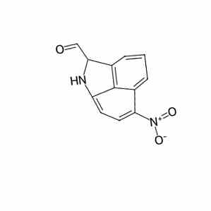 O=CC1Nc2ccc([N+](=O)[O-])c3cccc1c23